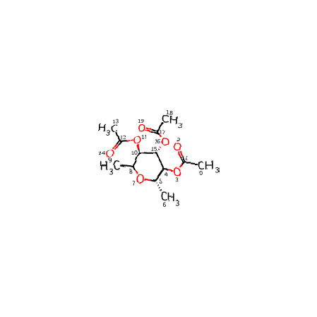 CC(=O)OC1[C@H](C)OC(C)[C@@H](OC(C)=O)[C@@H]1OC(C)=O